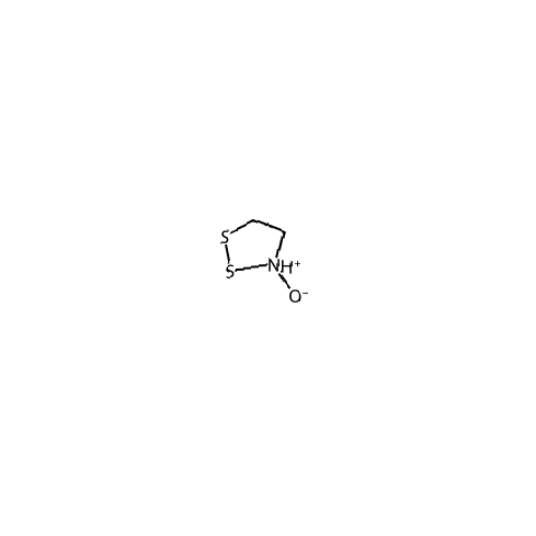 [O-][NH+]1CCSS1